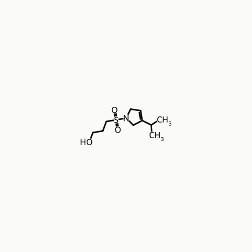 CC(C)C1=CCN(S(=O)(=O)CCCO)C1